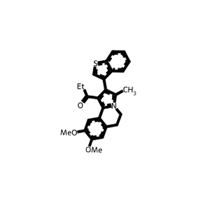 CCC(=O)c1c(-c2csc3ccccc23)c(C)n2c1-c1cc(OC)c(OC)cc1CC2